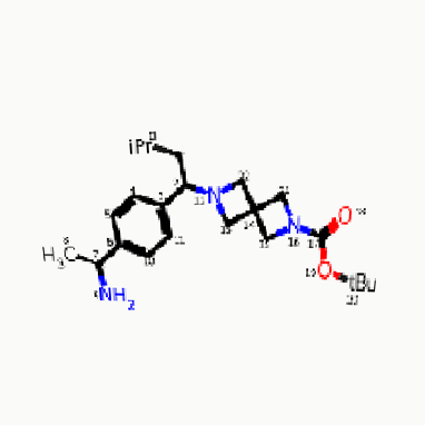 CC(C)CC(c1ccc([C@H](C)N)cc1)N1CC2(CN(C(=O)OC(C)(C)C)C2)C1